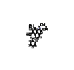 C/C=C(\C(=O)O)c1cc(OC)c(O)c2c(Cc3ccccc3)cccc12